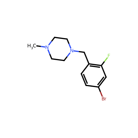 CN1CCN(Cc2ccc(Br)cc2F)CC1